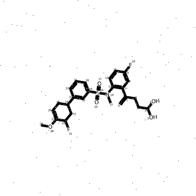 C=C(CCC(O)O)c1cc(F)ccc1N(C)S(=O)(=O)c1cccc(C2CC=C(OC)C(F)C2)c1